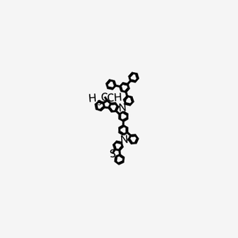 CC1(C)c2ccccc2-c2cc3c4cc(-c5ccc6c(c5)c5ccccc5n6-c5ccc6sc7ccccc7c6c5)ccc4n(-c4cccc(-c5cc(-c6ccccc6)cc(-c6ccccc6)c5)c4)c3cc21